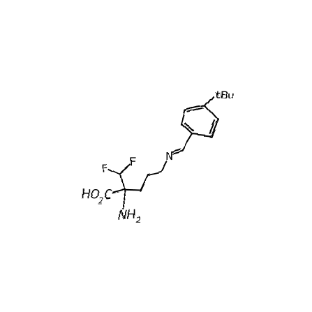 CC(C)(C)c1ccc(C=NCCCC(N)(C(=O)O)C(F)F)cc1